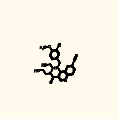 COc1ccc(CNc2c(C(=O)N(CCO)CCO)cnc3ccc(C#N)cc23)cc1Cl